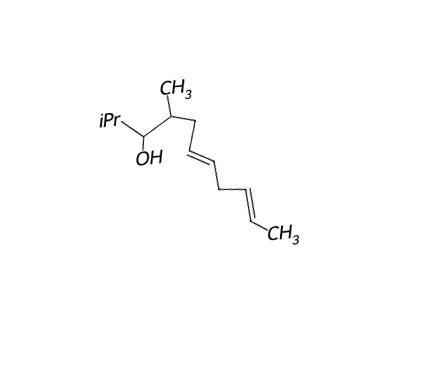 C/C=C/C/C=C/CC(C)C(O)C(C)C